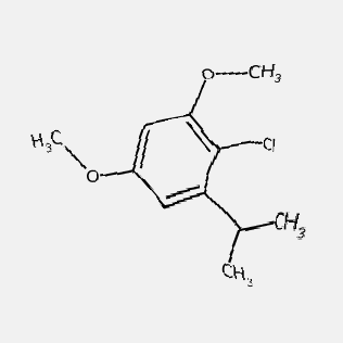 COc1cc(OC)c(Cl)c(C(C)C)c1